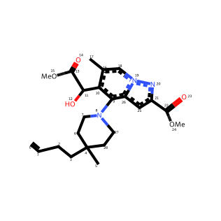 C=CCCC1(C)CCN(c2c(C(O)C(=O)OC)c(C)cn3nc(C(=O)OC)cc23)CC1